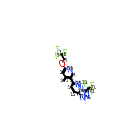 Cc1cc(OCC(F)(F)F)ncc1-c1ccc2nnc(C(F)(F)F)n2n1